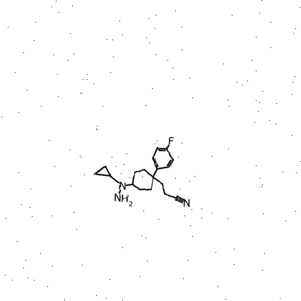 N#CCCC1(c2ccc(F)cc2)CCC(N(N)C2CC2)CC1